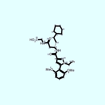 COc1cccc(OC)c1-c1cc(C(=O)N[C@@H](CCC2CCCCC2)CC(=O)NCC(=O)O)nn1CC(C)C